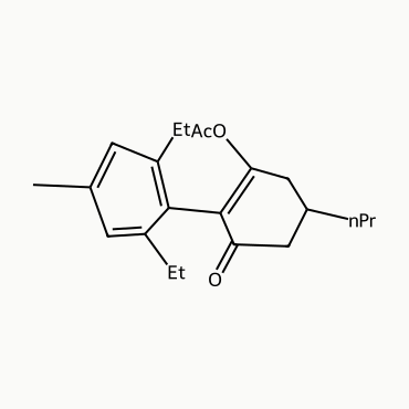 CCCC1CC(=O)C(c2c(CC)cc(C)cc2CC)=C(OC(C)=O)C1